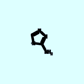 NC1=NN=C[N]1